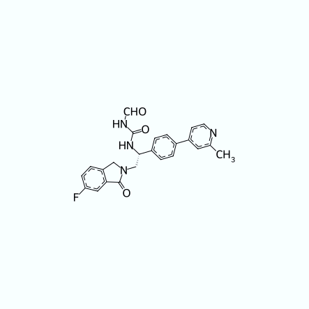 Cc1cc(-c2ccc([C@H](CN3Cc4ccc(F)cc4C3=O)NC(=O)NC=O)cc2)ccn1